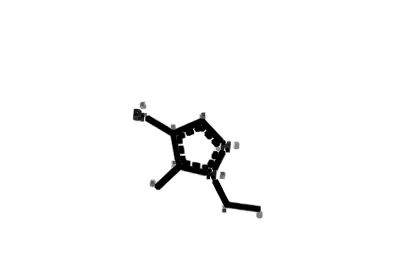 CCn1n[c]c(Br)c1C